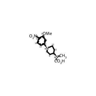 COc1cc(N2CCC(N(C)C(=O)O)CC2)ccc1[N+](=O)[O-]